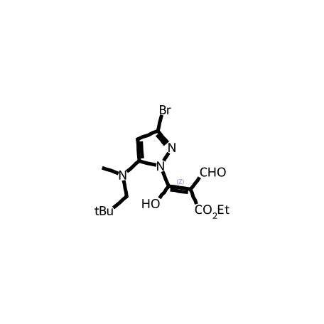 CCOC(=O)/C(C=O)=C(\O)n1nc(Br)cc1N(C)CC(C)(C)C